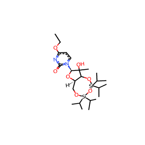 CCOc1ccn([C@@H]2O[C@@H]3CO[Si](C(C)C)(C(C)C)O[Si](C(C)C)(C(C)C)OC3C2(C)O)c(=O)n1